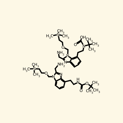 CC(C)(C)N(CCc1cccc2nc(CN)n(COCC[Si](C)(C)C)c12)C(=O)O.CC(C)(C)OC(=O)NCCc1cccc2c1nc(CN)n2COCC[Si](C)(C)C